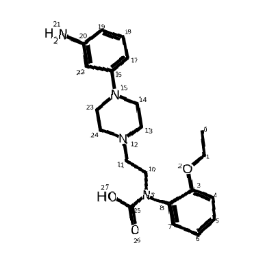 CCOc1ccccc1N(CCN1CCN(c2cccc(N)c2)CC1)C(=O)O